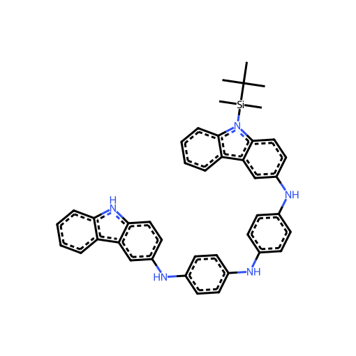 CC(C)(C)[Si](C)(C)n1c2ccccc2c2cc(Nc3ccc(Nc4ccc(Nc5ccc6[nH]c7ccccc7c6c5)cc4)cc3)ccc21